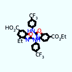 CCOC(=O)c1ccc2nc(Nc3ccc(C(F)(F)F)cc3)oc2c1.CCc1cc(C(=O)O)cc2oc(Nc3ccc(C(F)(F)F)cc3)nc12